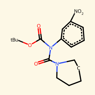 CC(C)(C)OC(=O)N(C(=O)N1CCCCC1)c1cccc([N+](=O)[O-])c1